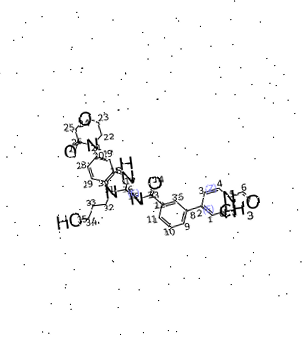 C/C=C(\C=C/NC=O)c1cccc(C(=O)/N=c2\[nH]c3cc(N4CCOCC4=O)ccc3n2CCCO)c1